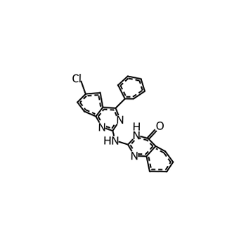 O=c1[nH]c(Nc2nc(-c3ccccc3)c3cc(Cl)ccc3n2)nc2ccccc12